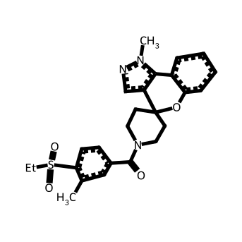 CCS(=O)(=O)c1ccc(C(=O)N2CCC3(CC2)Oc2ccccc2-c2c3cnn2C)cc1C